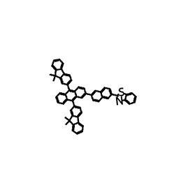 CC1(C)c2ccccc2-c2ccc(-c3c4ccccc4c(-c4ccc5c(c4)C(C)(C)c4ccccc4-5)c4cc(-c5ccc6cc(-c7nc8ccccc8s7)ccc6c5)ccc34)cc21